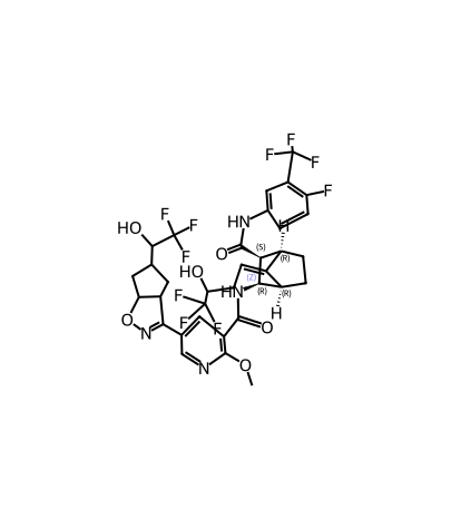 COc1ncc(C2=NOC3CC(C(O)C(F)(F)F)CC23)cc1C(=O)N[C@H]1[C@@H](C(=O)Nc2ccc(F)c(C(F)(F)F)c2)[C@H]2CC[C@@H]1/C2=C\CC(O)C(F)(F)F